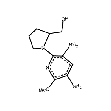 COc1nc(N2CCCC2CO)c(N)cc1N